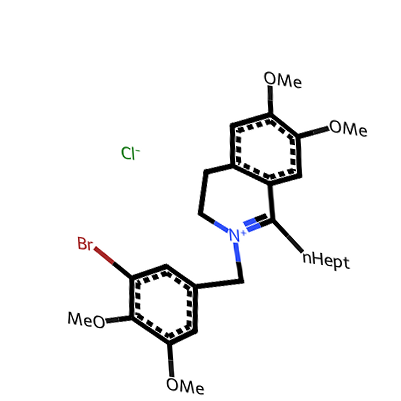 CCCCCCCC1=[N+](Cc2cc(Br)c(OC)c(OC)c2)CCc2cc(OC)c(OC)cc21.[Cl-]